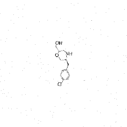 OCC1CN[C@@H](Cc2ccc(Cl)cc2)CO1